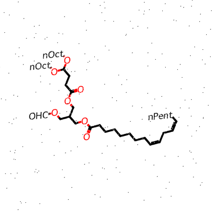 CCCCC/C=C\C/C=C\CCCCCCCC(=O)OCC(COC=O)COC(=O)CCC(OCCCCCCCC)OCCCCCCCC